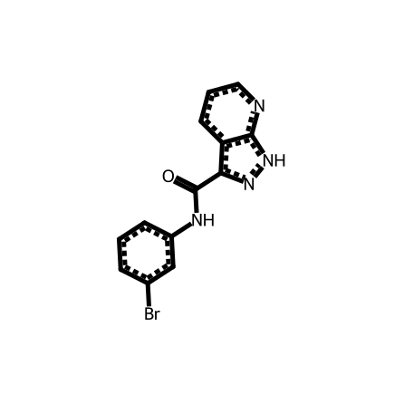 O=C(Nc1cccc(Br)c1)c1n[nH]c2ncccc12